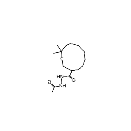 CC(=O)NNC(=O)C1CCCCCCCC(C)(C)CC1